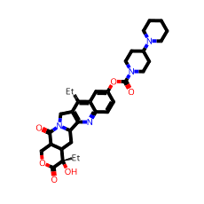 CCc1c2c(nc3ccc(OC(=O)N4CCC(N5CCCCC5)CC4)cc13)C1CC3C(COC(=O)[C@]3(O)CC)C(=O)N1C2